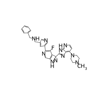 CN1CCN(c2ccnc3[nH]c(-c4n[nH]c5cnc(-c6cncc(CNCc7ccccc7)c6)c(F)c45)nc23)CC1